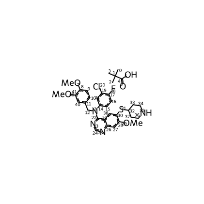 CC(C)(C)C(=O)O.COc1ccc(CN(c2ccc(F)c(Cl)c2)c2ncnc3cc(OC)c(SC4CCNCC4)cc23)cc1OC